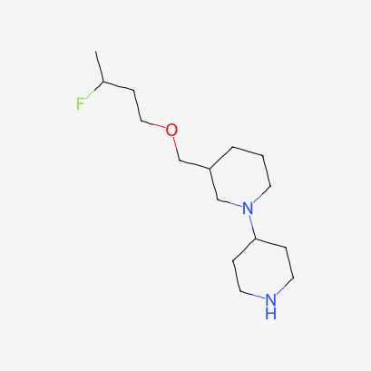 CC(F)CCOCC1CCCN(C2CCNCC2)C1